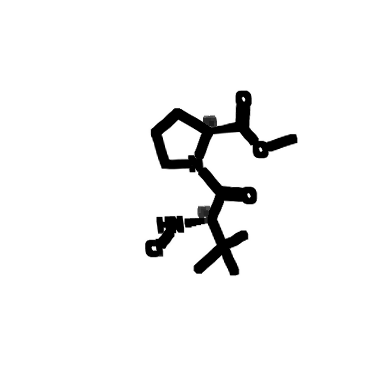 COC(=O)[C@@H]1CCCN1C(=O)[C@@H](NCl)C(C)(C)C